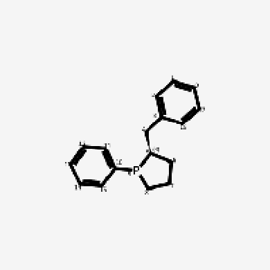 c1ccc(C[C@H]2CCCP2c2ccccc2)cc1